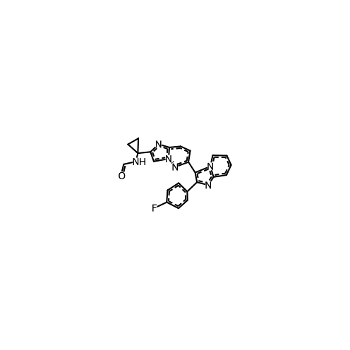 O=CNC1(c2cn3nc(-c4c(-c5ccc(F)cc5)nc5ccccn45)ccc3n2)CC1